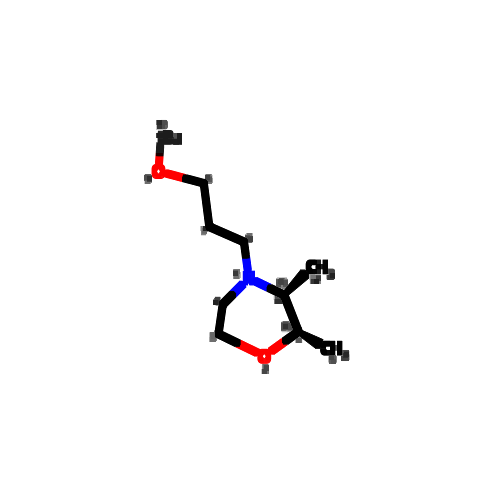 C[C@H]1OCCN(CCCOC(C)(C)C)[C@H]1C